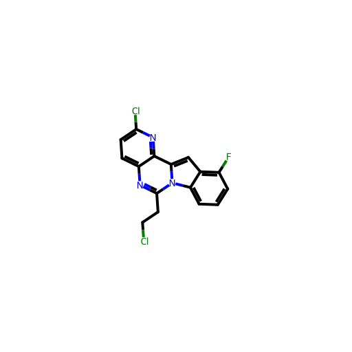 Fc1cccc2c1cc1c3nc(Cl)ccc3nc(CCCl)n21